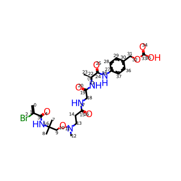 C=C(Br)C(=O)NC(C)(C)CON(C)CCC(=O)NCC(=O)N[C@@H](C)C(=O)Nc1ccc(COC(=O)O)cc1